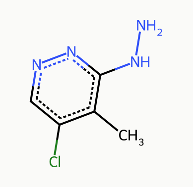 Cc1c(Cl)cnnc1NN